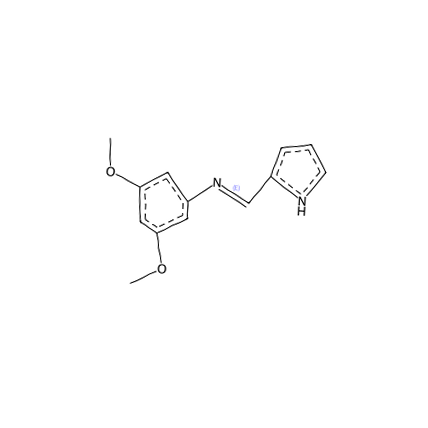 COc1cc(/N=C/c2ccc[nH]2)cc(OC)c1